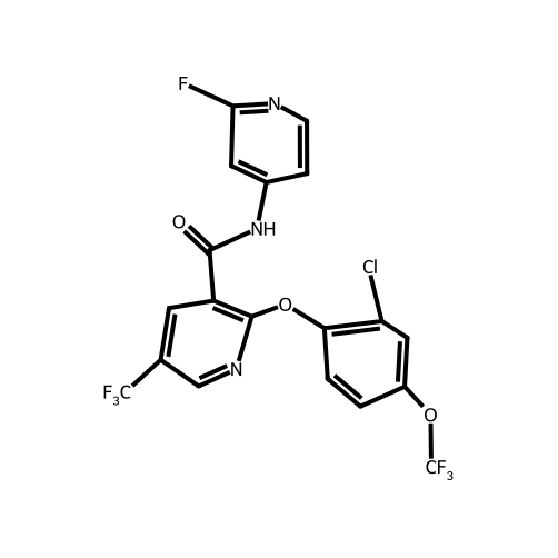 O=C(Nc1ccnc(F)c1)c1cc(C(F)(F)F)cnc1Oc1ccc(OC(F)(F)F)cc1Cl